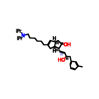 Cc1cccc(C[C@@H](O)/C=C/[C@@H]2[C@H]3CC(CCCCCCN(C(C)C)C(C)C)=C[C@H]3C[C@H]2O)c1